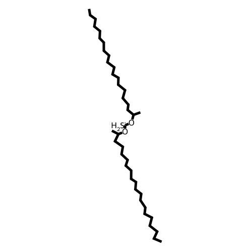 CCCCCCCCCCCCCCCCCCC(C)O[SiH2]OC(C)CCCCCCCCCCCCCCCCCC